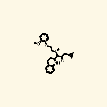 COc1ccccc1OCCN(C)C(C(=O)CC1CC1)C1CCc2ccccc2N1